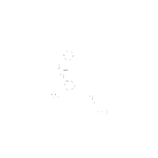 COc1cc(N2CC[C@@H](Oc3ccc(C4CC4)cc3)C2=O)ccc1OCCN1CCC[C@H]1CO